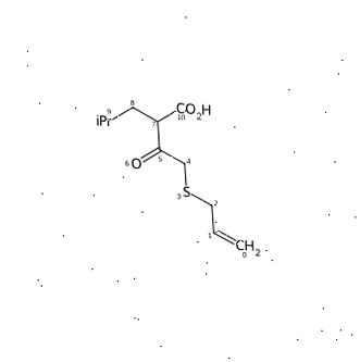 C=CCSCC(=O)C(CC(C)C)C(=O)O